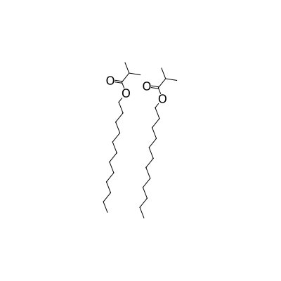 CCCCCCCCCCCCOC(=O)C(C)C.CCCCCCCCCCCCOC(=O)C(C)C